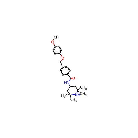 COc1ccc(OCc2ccc(C(=O)NC3CC(C)(C)NC(C)(C)C3)cc2)cc1